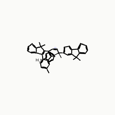 Cc1ccc2c3c(c(/C=C\C(C)(c4ccc(N)cc4)c4ccc5c(c4)C(C)(C)c4ccccc4-5)c(C)c2c1)C(C)(C)c1ccccc1-3